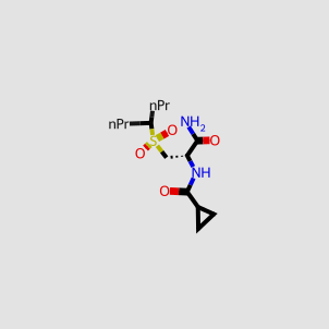 CCCC(CCC)S(=O)(=O)C[C@@H](NC(=O)C1CC1)C(N)=O